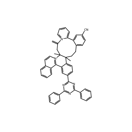 C=C1CC2(C)[n+]3ccc4ccccc4c3-c3cc(-c4nc(-c5ccccc5)nc(-c5ccccc5)n4)ccc3C2(C)CCc2ccc(C#N)cc2-c2cccc[n+]21